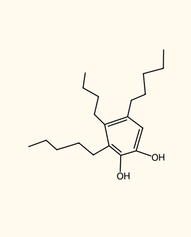 CCCCCc1cc(O)c(O)c(CCCCC)c1CCCC